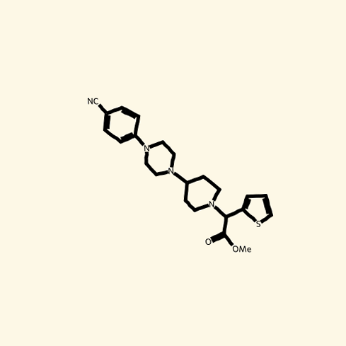 COC(=O)C(c1cccs1)N1CCC(N2CCN(c3ccc(C#N)cc3)CC2)CC1